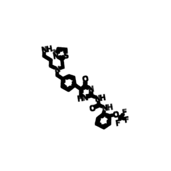 NCCCN(Cc1ccc(-c2c[nH]c(NC(=O)Nc3ccccc3OC(F)(F)F)nc2=O)cc1)Cc1nccs1